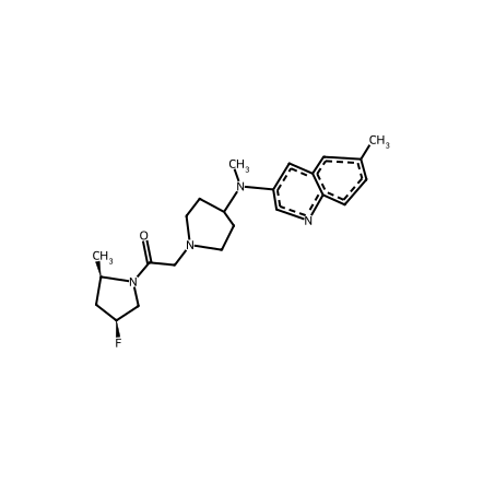 Cc1ccc2ncc(N(C)C3CCN(CC(=O)N4C[C@@H](F)C[C@H]4C)CC3)cc2c1